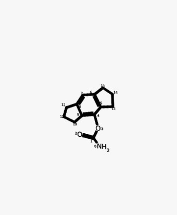 NC(=O)Oc1c2c(cc3c1CCC3)CCC2